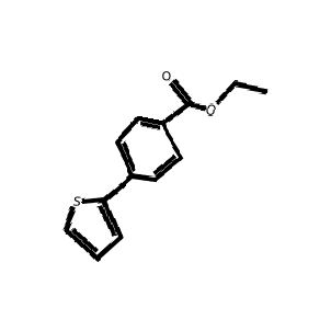 CCOC(=O)c1ccc(-c2cccs2)cc1